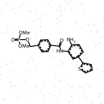 COP(=O)(OC)OCc1ccc(C(=O)Nc2cc(-c3cccs3)ccc2N)cc1